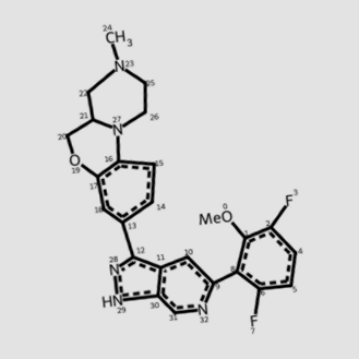 COc1c(F)ccc(F)c1-c1cc2c(-c3ccc4c(c3)OCC3CN(C)CCN43)n[nH]c2cn1